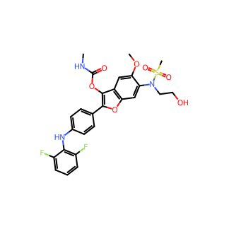 CNC(=O)Oc1c(-c2ccc(Nc3c(F)cccc3F)cc2)oc2cc(N(CCO)S(C)(=O)=O)c(OC)cc12